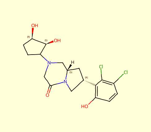 O=C1CN(C2CC[C@@H](O)[C@H]2O)C[C@@H]2C[C@H](c3c(O)ccc(Cl)c3Cl)CN12